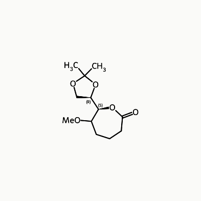 COC1CCCC(=O)O[C@@H]1[C@H]1COC(C)(C)O1